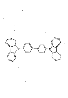 C1=CCC2C(=C1)c1ccccc1N2c1ccc(-c2ccc(-n3c4c(c5ccccc53)CCC=C4)cc2)cc1